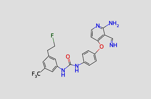 N=Cc1c(Oc2ccc(NC(=O)Nc3cc(CCF)cc(C(F)(F)F)c3)cc2)ccnc1N